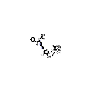 COC[C@](OC[C@H]1O[C@@H](/C=C/C=C/C(=N\C(=N)Cl)NC2CCCC2)[C@H](O)[C@@H]1O)(C(=O)O)P(=O)(O)O